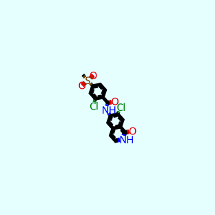 CS(=O)(=O)c1ccc(C(=O)Nc2cc3cc[nH]c(=O)c3cc2Cl)c(Cl)c1